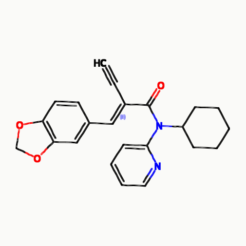 C#C/C(=C\c1ccc2c(c1)OCO2)C(=O)N(c1ccccn1)C1CCCCC1